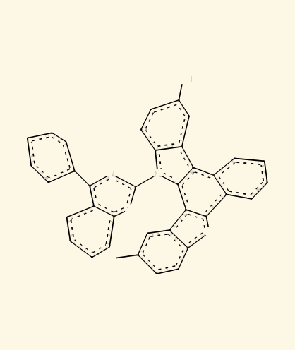 Cc1ccc2sc3c4ccccc4c4c5cc(C)ccc5n(-c5nc(-c6ccccc6)c6ccccc6n5)c4c3c2c1